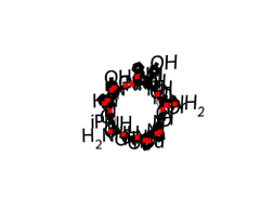 CCCC[C@H]1C(=O)N(C)CC(=O)N[C@@H](CCN)C(=O)N[C@@H](C(C)C)C(=O)N(C)[C@@H](Cc2ccccc2)C(=O)N[C@@H](Cc2ccc(O)cc2)C(=O)N(C)CC(=O)N[C@@H](Cc2c[nH]c3ccccc23)C(=O)N[C@@H](CCc2ccc(O)cc2)C(=O)NCC(=O)N[C@H](C(=O)NCC(N)=O)C(CC(C)C)SCC(=O)N[C@@H](Cc2ccccc2)C(=O)N(C)[C@@H](Cc2ccccc2)C(=O)N1C